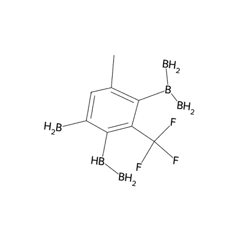 BBc1c(B)cc(C)c(B(B)B)c1C(F)(F)F